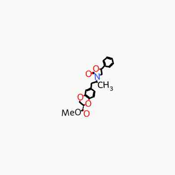 COC(=O)[C@H]1COc2cc(CC(C)N3CC(c4ccccc4)OC3=O)ccc2O1